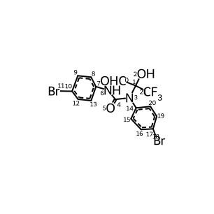 O=CC(O)(N(C(=O)Nc1ccc(Br)cc1)c1ccc(Br)cc1)C(F)(F)F